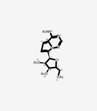 CC(=O)Nc1ncnn2c([C@H]3OC(COC(C)=O)[C@@H](OC(C)=O)[C@H]3OC(C)=O)ccc12